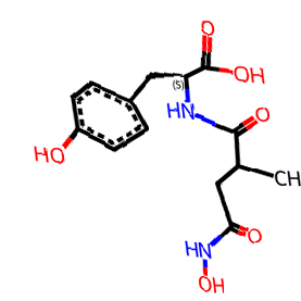 CC(CC(=O)NO)C(=O)N[C@@H](Cc1ccc(O)cc1)C(=O)O